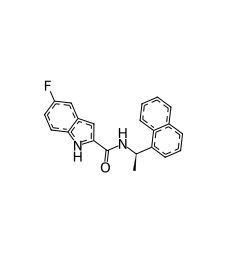 C[C@@H](NC(=O)c1cc2cc(F)ccc2[nH]1)c1cccc2ccccc12